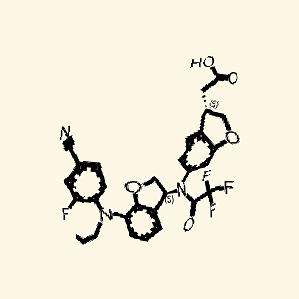 CCN(c1ccc(C#N)cc1F)c1cccc2c1OC[C@H]2N(C(=O)C(F)(F)F)c1ccc2c(c1)OC[C@H]2CC(=O)O